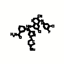 CC(C)(C)N1CCC(n2cc([C@@H](Nc3cc(Cl)cc4c(Nc5ccc(F)c(Cl)c5)c(C#N)cnc34)c3cccc(C(N)=O)c3)nn2)CC1